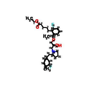 CCOC(=O)CCCCc1c(F)cccc1[C@@H](C)OC[C@H](O)CN1CCC[C@H]1Cc1ccc(C)c(F)c1